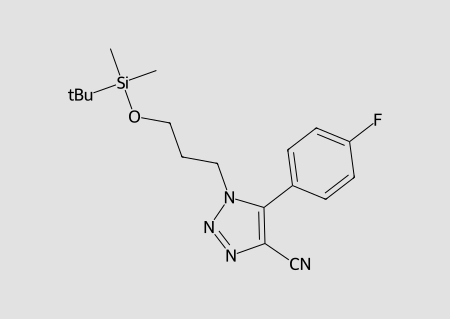 CC(C)(C)[Si](C)(C)OCCCn1nnc(C#N)c1-c1ccc(F)cc1